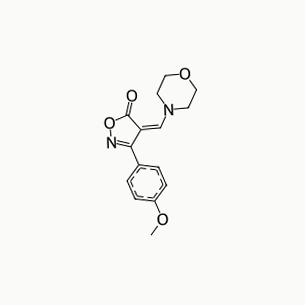 COc1ccc(C2=NOC(=O)C2=CN2CCOCC2)cc1